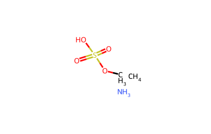 C.COS(=O)(=O)O.N